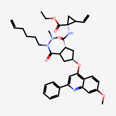 C=CCCCCN(C(=O)C1C[C@H](Oc2cc(-c3ccccc3)nc3cc(OC)ccc23)C[C@H]1C(=O)N[C@]1(C(=O)OCC)CC1C=C)N(C)C